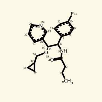 CCCC(=O)NC(c1ccc(F)cc1)[C@H](OCC1CC1)c1cccnc1